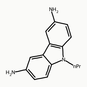 CCCn1c2ccc(N)cc2c2cc(N)ccc21